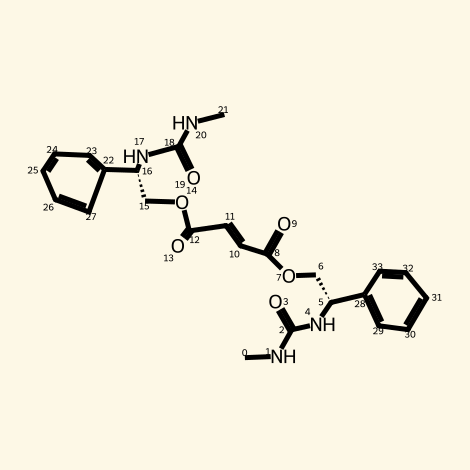 CNC(=O)N[C@H](COC(=O)/C=C/C(=O)OC[C@@H](NC(=O)NC)c1ccccc1)c1ccccc1